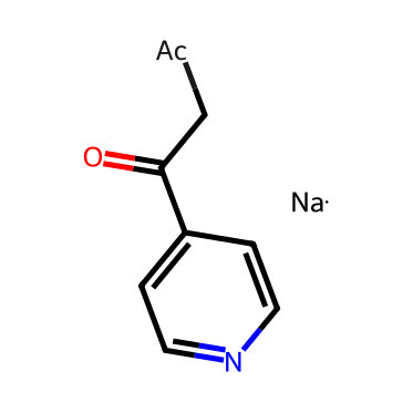 CC(=O)CC(=O)c1ccncc1.[Na]